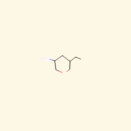 CCC1COCC(N)C1